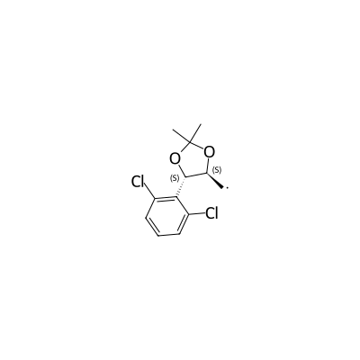 [CH2][C@@H]1OC(C)(C)O[C@H]1c1c(Cl)cccc1Cl